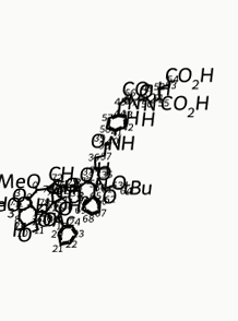 CO[C@H]1C(=O)[C@]2(C)[C@@H](OC)C[C@H]3OC[C@@]3(OC(C)=O)[C@H]2[C@H](OC(=O)c2ccccc2)[C@]2(O)C[C@H](OC(=O)[C@H](OC(=O)CCC(=O)Nc3ccc(C[C@H](NC(=O)N[C@@H](CCC(=O)O)C(=O)O)C(=O)O)cc3)[C@@H](NC(=O)OC(C)(C)C)c3ccccc3)C(C)=C1C2(C)C